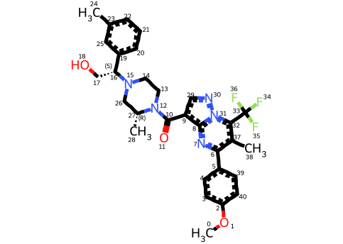 COc1ccc(-c2nc3c(C(=O)N4CCN([C@H](CO)c5cccc(C)c5)C[C@H]4C)cnn3c(C(F)(F)F)c2C)cc1